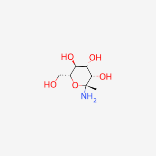 C[C@@]1(N)O[C@H](CO)[C@@H](O)[C@H](O)[C@@H]1O